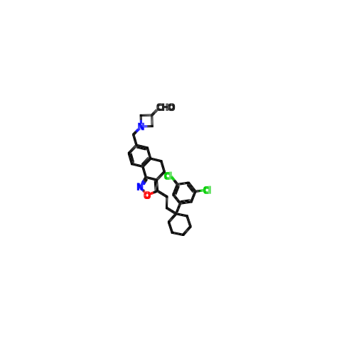 O=CC1CN(Cc2ccc3c(c2)CCc2c-3noc2CCC2(c3cc(Cl)cc(Cl)c3)CCCCC2)C1